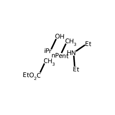 CC(C)O.CCCCCC.CCNCC.CCOC(C)=O